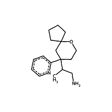 CC(CN)C1(c2ccccn2)CCOC2(CCCC2)C1